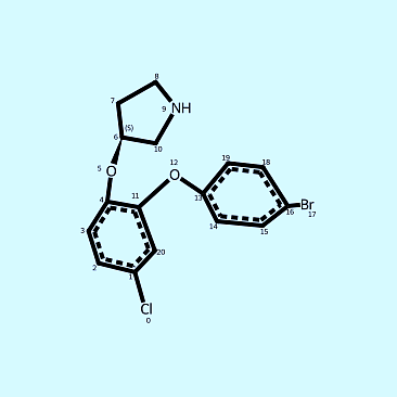 Clc1ccc(O[C@H]2CCNC2)c(Oc2ccc(Br)cc2)c1